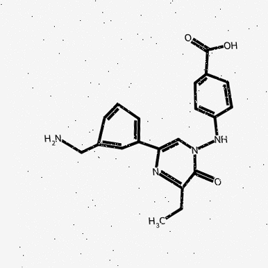 CCc1nc(-c2cccc(CN)c2)cn(Nc2ccc(C(=O)O)cc2)c1=O